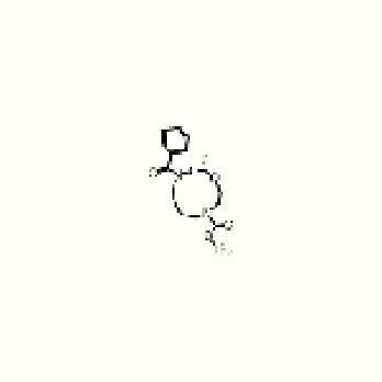 C[C@H]1CN(C(=O)c2ccccc2)CCCCN(C(=O)OC(C)(C)C)CCO1